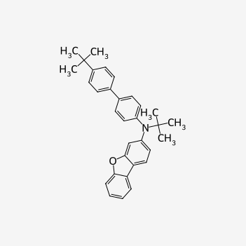 CC(C)(C)c1ccc(-c2ccc(N(c3ccc4c(c3)oc3ccccc34)C(C)(C)C)cc2)cc1